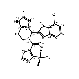 O=C(c1ocnc1C(F)(F)F)N1CCc2[nH]cnc2[C@H]1c1cc2cccc(F)c2o1